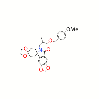 COc1ccc(COC[C@H](C)CN2C(=O)c3cc4c(cc3C23CCC2(CC3)OCCO2)OCO4)cc1